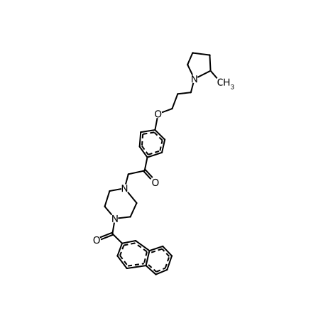 CC1CCCN1CCCOc1ccc(C(=O)CN2CCN(C(=O)c3ccc4ccccc4c3)CC2)cc1